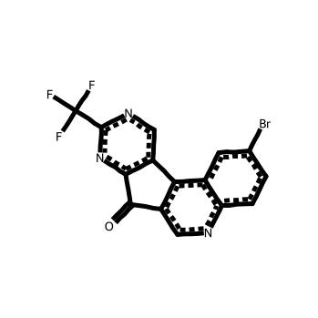 O=C1c2cnc3ccc(Br)cc3c2-c2cnc(C(F)(F)F)nc21